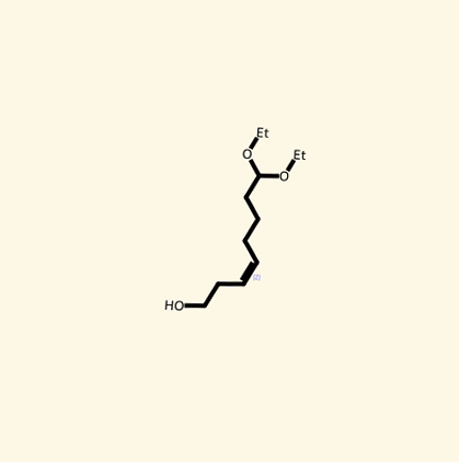 CCOC(CCC/C=C\CCO)OCC